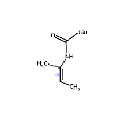 C/C=C(/C)NC(=O)C(C)(C)C